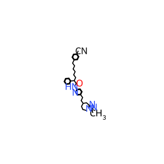 Cc1nnc2n1CCCC(CCc1ccc(NC(=O)C(CCCCCCc3ccc(C#N)cc3)c3ccccc3)nc1)C2